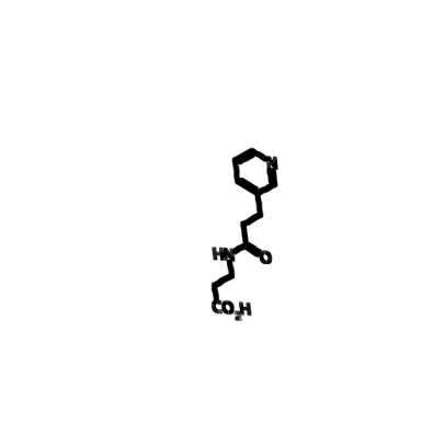 O=C(O)CCNC(=O)CCc1cccnc1